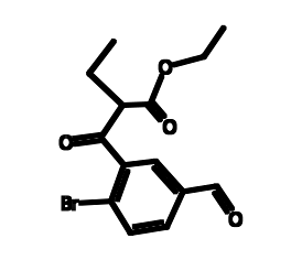 CCOC(=O)C(CC)C(=O)c1cc(C=O)ccc1Br